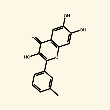 Cc1cccc(-c2oc3cc(O)c(O)cc3c(=O)c2O)c1